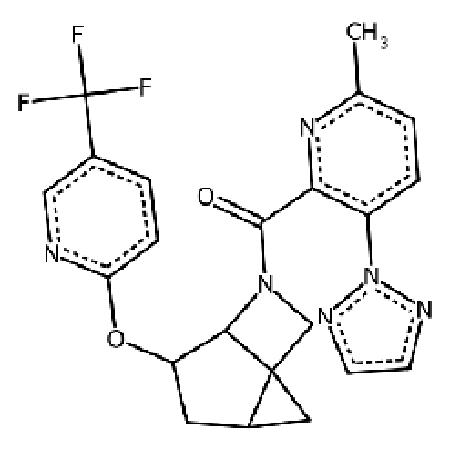 Cc1ccc(-n2nccn2)c(C(=O)N2CC34CC3CC(Oc3ccc(C(F)(F)F)cn3)C24)n1